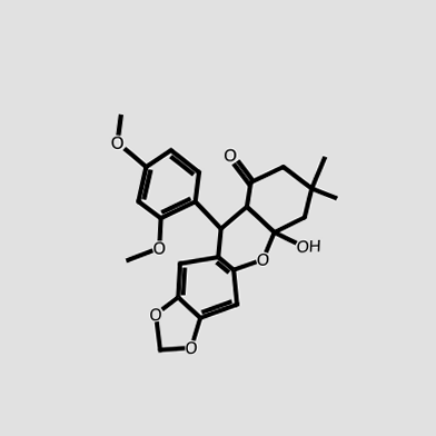 COc1ccc(C2c3cc4c(cc3OC3(O)CC(C)(C)CC(=O)C23)OCO4)c(OC)c1